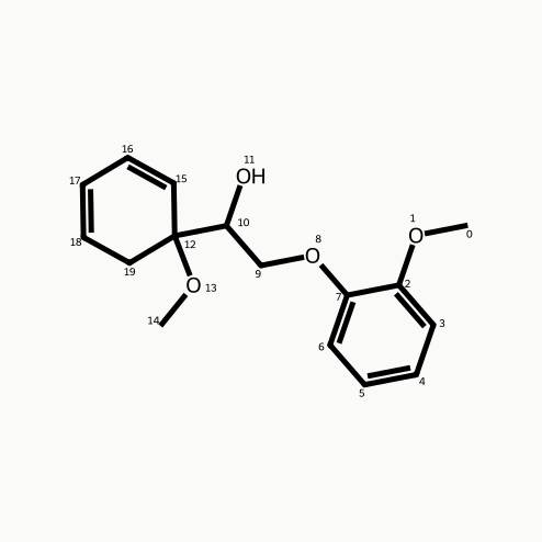 COc1ccccc1OCC(O)C1(OC)C=CC=CC1